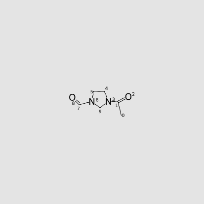 CC(=O)N1CCN(C=O)C1